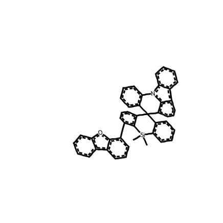 C[Si]1(C)c2ccccc2C2(c3ccccc3-n3c4ccccc4c4cccc2c43)c2cccc(-c3cccc4c3oc3ccccc34)c21